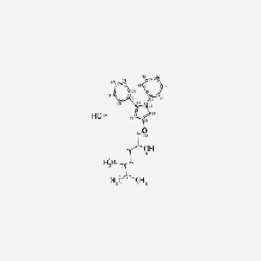 CC(C)C(N)CCC(O)COC1=CN(c2ccccc2)S(c2ccccc2)=C1.Cl